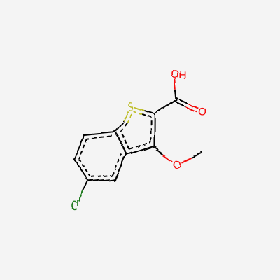 COc1c(C(=O)O)sc2ccc(Cl)cc12